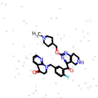 CN1CCC(COc2nc3c(c(C(=O)c4cc(CN5CCC(=O)c6cccnc65)ccc4F)n2)CNCC3)CC1